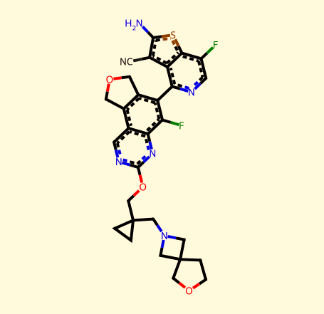 N#Cc1c(N)sc2c(F)cnc(-c3c4c(c5cnc(OCC6(CN7CC8(CCOC8)C7)CC6)nc5c3F)COC4)c12